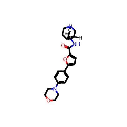 O=C(N[C@H]1CN2CCC1CC2)c1ccc(-c2ccc(N3CCOCC3)cc2)o1